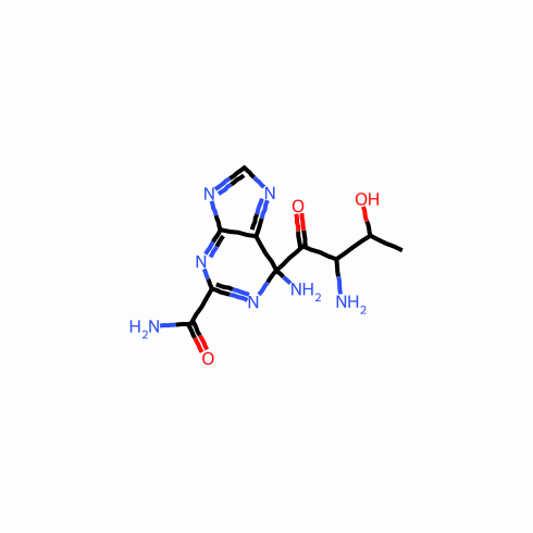 CC(O)C(N)C(=O)C1(N)N=C(C(N)=O)N=C2N=CN=C21